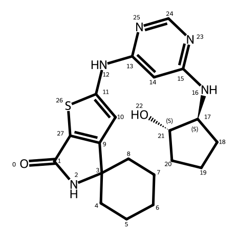 O=C1NC2(CCCCC2)c2cc(Nc3cc(N[C@H]4CCC[C@@H]4O)ncn3)sc21